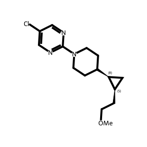 COCC[C@@H]1C[C@@H]1C1CCN(c2ncc(Cl)cn2)CC1